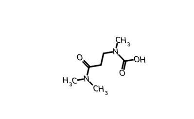 CN(C)C(=O)CCN(C)C(=O)O